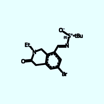 CCN1Cc2c(C=N[S@@+]([O-])C(C)(C)C)cc(Br)cc2CC1=O